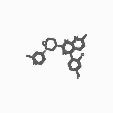 Cc1cc([C@H]2C[C@H](c3nc(-c4ccc(F)cc4F)c4ccc(C)nc4n3)CCO2)ccn1